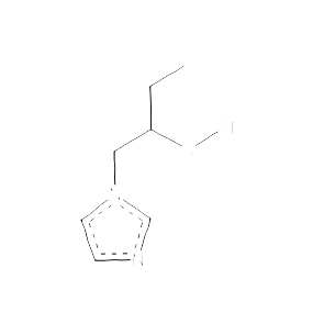 SSC(CI)Cn1ccnc1